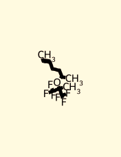 CC=CCCC(C)OC(C)(C(F)(F)F)C(F)(F)F